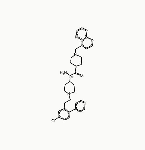 N[C@@H](C(=O)N1CCN(Cc2cccc3cccnc23)CC1)C1CCN(CCc2cc(Cl)ccc2-c2ccccc2)CC1